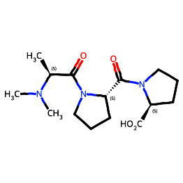 C[C@@H](C(=O)N1CCC[C@H]1C(=O)N1CCC[C@H]1C(=O)O)N(C)C